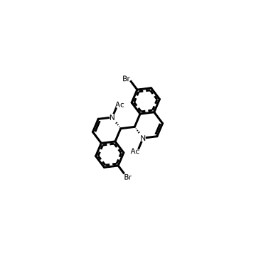 CC(=O)N1C=Cc2ccc(Br)cc2[C@H]1[C@@H]1c2cc(Br)ccc2C=CN1C(C)=O